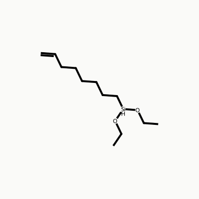 C=CCCCCCC[SiH](OCC)OCC